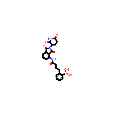 O=C1CCC(N2C(=O)c3cccc(NC(=O)CCCc4ccccc4B(O)O)c3C2=O)C(=O)N1